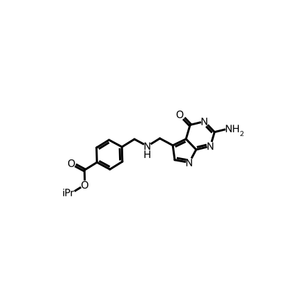 CC(C)OC(=O)c1ccc(CNCC2=C3C(=O)N=C(N)N=C3N=C2)cc1